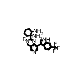 NC1CCCCC1(N)C1=Nc2c(cncc2-c2c[nH]c3cc(C(F)(F)F)ccc23)CN1F